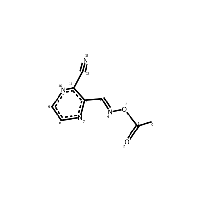 CC(=O)O/N=C/c1nccnc1C#N